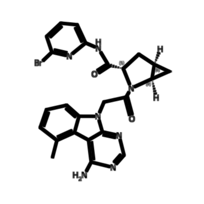 Cc1cccc2c1c1c(N)ncnc1n2CC(=O)N1[C@@H]2C[C@@H]2C[C@H]1C(=O)Nc1cccc(Br)n1